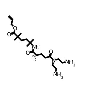 C=CCOC(=O)C(C)(C)CCC(C)(C)NC(=O)[C@@H](C)CCC(=O)N(CCN)CCN